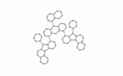 c1ccc(-n2c3ccc4ccccc4c3c3cccc(-c4cccc5c(-c6cccc7ccccc67)c6cccc(-c7cccc8c9c%10ccccc%10ccc9n(-c9ccccc9)c78)c6cc45)c32)cc1